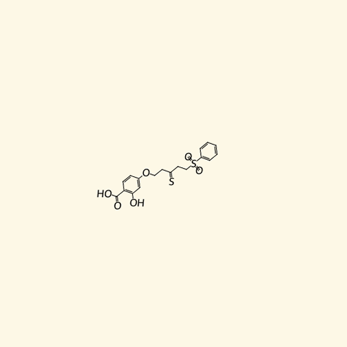 O=C(O)c1ccc(OCCC(=S)CCS(=O)(=O)c2ccccc2)cc1O